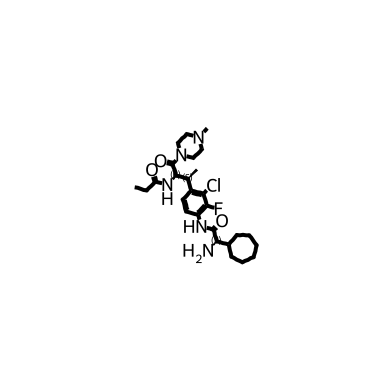 CCC(=O)N[C@@H](C(=O)N1CCN(C)CC1)[C@@H](C)c1ccc(NC(=O)[C@@H](N)C2CCCCCC2)c(F)c1Cl